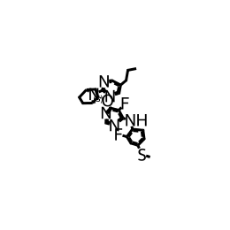 CCCc1cnc(N2C3CCC2[C@@H](Oc2ncnc(Nc4ccc(SC)cc4F)c2F)C3)nc1